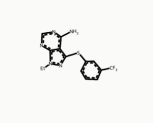 CCn1nc(Sc2cccc(C(F)(F)F)c2)c2c(N)ncnc21